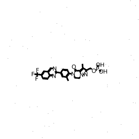 Cc1cc(-c2ncc3cc(C(F)(F)F)ccc3n2)ccc1N1CCn2nc(COP(O)O)c(C)c2C1=O